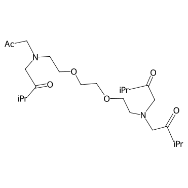 CC(=O)CN(CCOCCOCCN(CC(=O)C(C)C)CC(=O)C(C)C)CC(=O)C(C)C